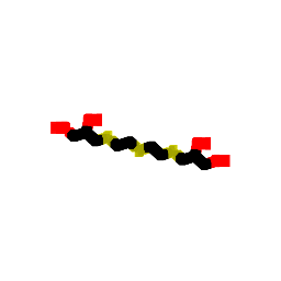 OCC(O)CSCCSCCSCC(O)CO